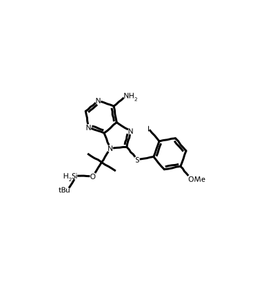 COc1ccc(I)c(Sc2nc3c(N)ncnc3n2C(C)(C)O[SiH2]C(C)(C)C)c1